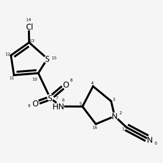 N#CN1CCC(NS(=O)(=O)c2ccc(Cl)s2)C1